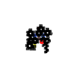 CCCCC(C)(C)c1oc2c(c1CC)N(c1ccccc1-c1ccccc1)c1cc(C)cc3c1B2c1cc2c(cc1N3c1ccccc1-c1ccccc1)C1(C)CCCCC1(C)S2